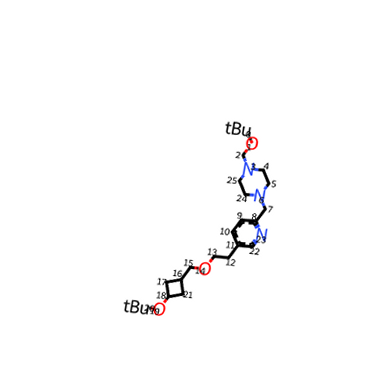 CC(C)(C)OCN1CCN(Cc2ccc(CCOCC3CC(OC(C)(C)C)C3)cn2)CC1